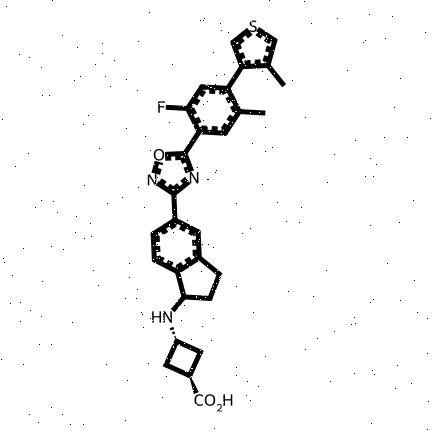 Cc1cscc1-c1cc(F)c(-c2nc(-c3ccc4c(c3)CCC4N[C@H]3C[C@H](C(=O)O)C3)no2)cc1C